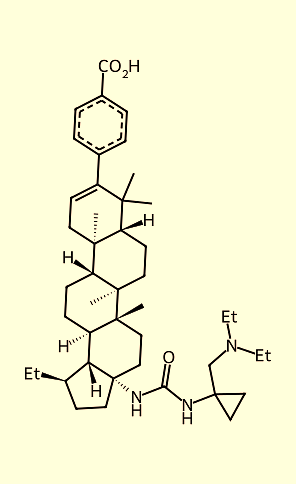 CC[C@@H]1CC[C@]2(NC(=O)NC3(CN(CC)CC)CC3)CC[C@]3(C)[C@H](CC[C@@H]4[C@@]5(C)CC=C(c6ccc(C(=O)O)cc6)C(C)(C)[C@@H]5CC[C@]43C)[C@@H]12